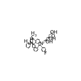 CC(C)c1ccc2c(c1C(=O)Nc1ccccc1)c(-c1ccccc1)c(-c1ccc(F)cc1)n2CC[C@@H](O)C[C@@H](O)CC(=O)O